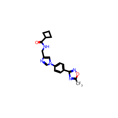 O=C(NCc1cn(-c2ccc(-c3noc(C(F)(F)F)n3)cc2)cn1)C1CCC1